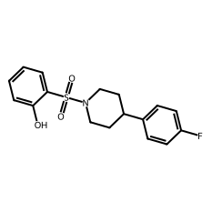 O=S(=O)(c1ccccc1O)N1CCC(c2ccc(F)cc2)CC1